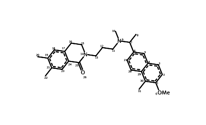 COc1ccc2cc(C(C)N(C)CCCN3CCc4cc(C)c(C)cc4C3=O)ccc2c1C